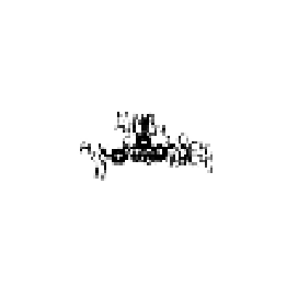 C[C@H](O)[C@H](C)C(=O)NCc1ccc(O)c(-c2cc(C(C)(C)C(N)=O)cc(-c3nc4cc(C(=N)N)ccc4[nH]3)c2O)c1